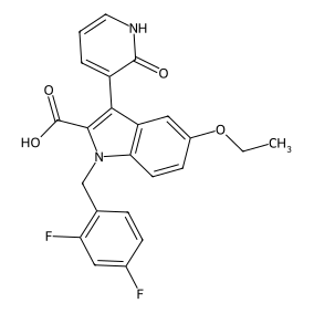 CCOc1ccc2c(c1)c(-c1ccc[nH]c1=O)c(C(=O)O)n2Cc1ccc(F)cc1F